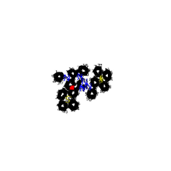 c1ccc(-n2c3ccccc3c3c2ccc2c4ccccc4n(-c4cc(-c5ccc(S(c6ccccc6)(c6ccccc6)c6ccccc6)cc5)nc(-n5c6ccccc6c6cc(S(c7ccccc7)(c7ccccc7)c7ccccc7)ccc65)n4)c23)cc1